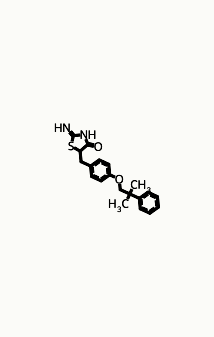 CC(C)(COc1ccc(CC2SC(=N)NC2=O)cc1)c1ccccc1